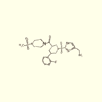 CS(=O)(=O)N1CCN(C(=O)C2CC(c3ccccc3F)CN(S(=O)(=O)c3ccc(CN)s3)C2)CC1